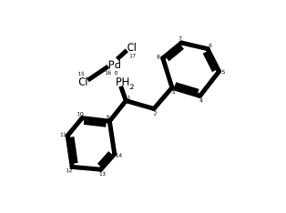 PC(Cc1ccccc1)c1ccccc1.[Cl][Pd][Cl]